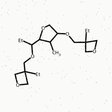 CCC(OCC1(CC)COC1)C1OCC(OCC2(CC)COC2)C1C